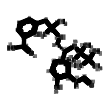 CC(C)(Cc1cccc(C(=O)O)c1)NC[C@H](O[Si](C)(C)C(C)(C)C)c1ccc(O)c(NC=O)c1